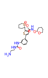 NCCNC(=O)Nc1cccc(-c2ccc([C@@]3(CC(=O)NOC4CCCCO4)CCCCS3(=O)=O)s2)c1